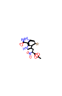 CC1OC(C(Cc2c[nH]c3c(C(N)=O)ccc(Br)c23)[N+](=O)[O-])O1